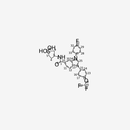 O=C(NC1CCS(O)(O)C1)c1ccc2c(-c3ccc(OC(F)F)cc3)cn(-c3ccc(F)cc3)c2c1